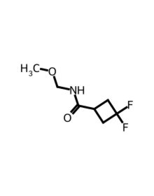 COCNC(=O)C1CC(F)(F)C1